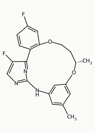 Cc1cc2cc(c1)O[C@@H](C)CCOc1cc(F)ccc1-c1nc(ncc1F)N2